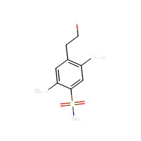 COc1cc(CC[O])c(S(=O)(=O)O)cc1S(N)(=O)=O